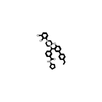 CCc1ccc(-c2ccc(O)c(C(c3cccc(C(=O)NC4CCCC4)c3)N3CCN(c4cccc(Cl)c4Cl)CC3)c2)cc1